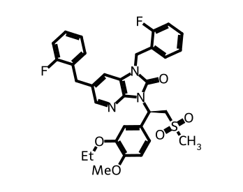 CCOc1cc([C@H](CS(C)(=O)=O)n2c(=O)n(Cc3ccccc3F)c3cc(Cc4ccccc4F)cnc32)ccc1OC